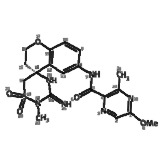 COc1cnc(C(=O)Nc2ccc3c(c2)[C@]2(CCO3)CS(=O)(=O)N(C)C(=N)N2)c(C)n1